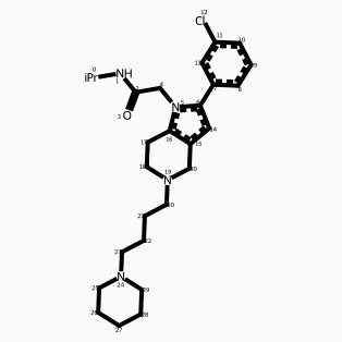 CC(C)NC(=O)Cn1c(-c2cccc(Cl)c2)cc2c1CCN(CCCCN1CCCCC1)C2